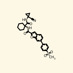 CS(=O)(=O)c1ccc(-c2ccc3cc(C(=O)NC4(C(=O)NC5(C#N)CC5)CCCCC4)oc3c2)cc1